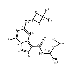 Cc1cc(OC2CC(F)(F)C2)nc2c(C(=O)NC(C3CC3)C(F)(F)F)ncn12